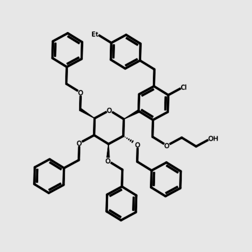 CCc1ccc(Cc2cc([C@@H]3O[C@H](COCc4ccccc4)C(OCc4ccccc4)[C@H](OCc4ccccc4)[C@H]3OCc3ccccc3)c(COCCO)cc2Cl)cc1